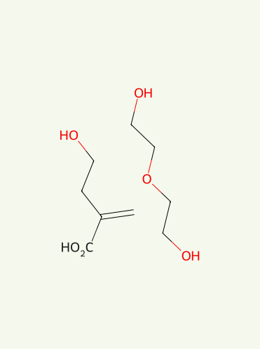 C=C(CCO)C(=O)O.OCCOCCO